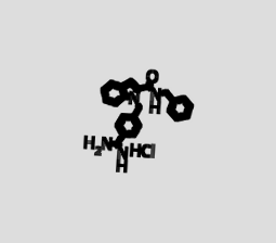 Cl.N=C(N)c1ccc(Cn2c(C(=O)NCc3ccccc3)cc3ccccc32)cc1